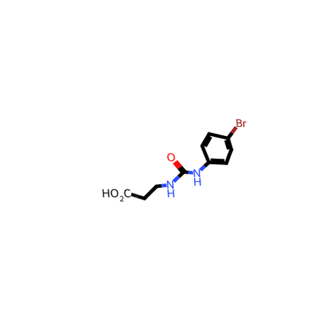 O=C(O)CCNC(=O)Nc1ccc(Br)cc1